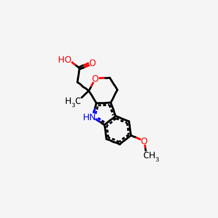 COc1ccc2[nH]c3c(c2c1)CCOC3(C)CC(=O)O